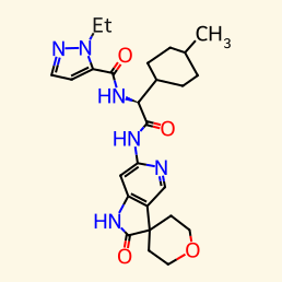 CCn1nccc1C(=O)N[C@H](C(=O)Nc1cc2c(cn1)C1(CCOCC1)C(=O)N2)C1CCC(C)CC1